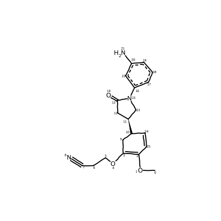 COC1=C(OCCC#N)CC([C@H]2CC(=O)N(c3cccc(N)c3)C2)C=C1